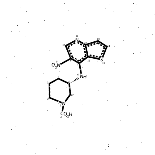 O=C(O)N1CCC[C@H](Nc2c([N+](=O)[O-])cnc3ccsc23)C1